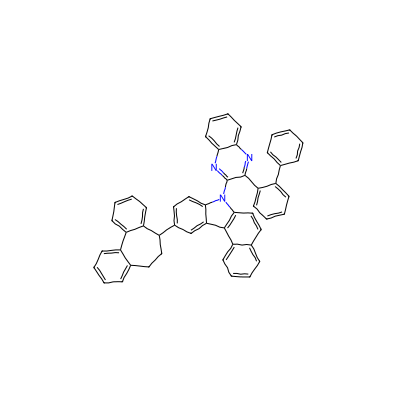 c1ccc(-c2ccccc2-c2nc3ccccc3nc2-n2c3ccc(C4CCc5ccccc5-c5ccccc54)cc3c3c4ccccc4ccc32)cc1